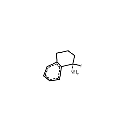 N[C@@]1(I)CCCc2ccccc21